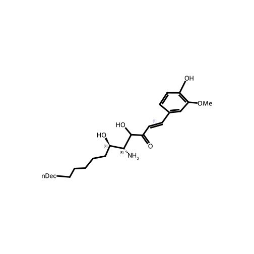 CCCCCCCCCCCCCCC[C@@H](O)[C@@H](N)C(O)C(=O)/C=C/c1ccc(O)c(OC)c1